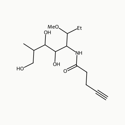 C#CCCC(=O)NC(C(CC)OC)C(O)C(O)C(C)CO